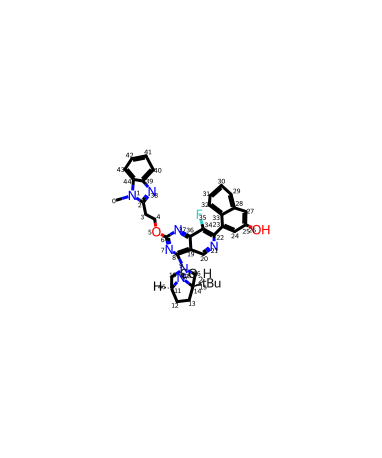 Cn1c(CCOc2nc(N3C[C@@H]4CC[C@@](C(C)(C)C)(C3)N4C(=O)O)c3cnc(-c4cc(O)cc5ccccc45)c(F)c3n2)nc2ccccc21